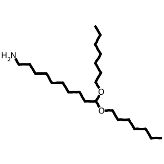 CCCCCCCOC(CCCCCCCCCN)OCCCCCCC